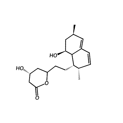 C[C@H]1C=C2C=C[C@H](C)[C@H](CCC3C[C@@H](O)CC(=O)O3)C2[C@@H](O)C1